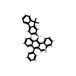 CC1(C)c2ccccc2-c2ccc(Sc3c4ccccc4c(-c4ccccc4)c4cnc5ccccc5c34)cc21